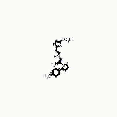 CCOC(=O)c1cnc(CCN/C=C(\N)N2CCCC2C2=CC=C(C)CC2)s1